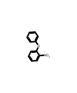 O=[N+]([O-])c1ccccc1Oc1ccccc1